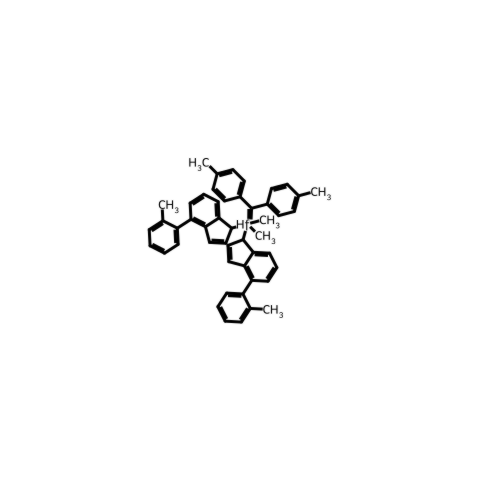 Cc1ccc([C](c2ccc(C)cc2)=[Hf]([CH3])([CH3])([CH]2C=Cc3c(-c4ccccc4C)cccc32)[CH]2C=Cc3c(-c4ccccc4C)cccc32)cc1